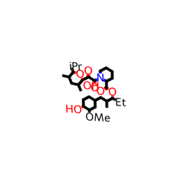 CCC(OC(=O)C1CCCCN1C(=O)C(=O)C1(O)OC(C(C)C)C(C)CC1C)C(C)CC1CCC(O)C(OC)C1